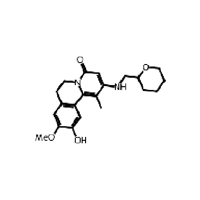 COc1cc2c(cc1O)-c1c(C)c(NCC3CCCCO3)cc(=O)n1CC2